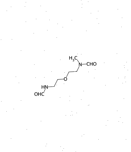 CN(C=O)CCOCCNC=O